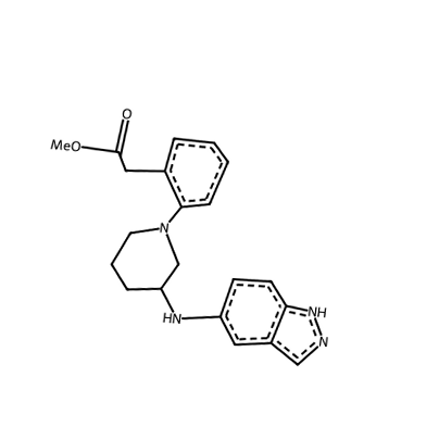 COC(=O)Cc1ccccc1N1CCCC(Nc2ccc3[nH]ncc3c2)C1